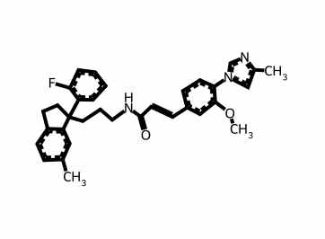 COc1cc(/C=C/C(=O)NCCCC2(c3ccccc3F)CCc3ccc(C)cc32)ccc1-n1cnc(C)c1